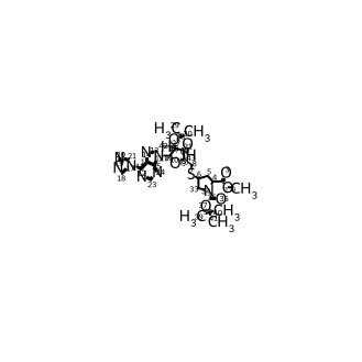 COC(=O)C1CC(SC[C@H]2O[C@@H](n3cnc4c(-n5cnnc5)ncnc43)[C@@H]3OC(C)(C)O[C@H]32)CN1C(=O)OC(C)(C)C